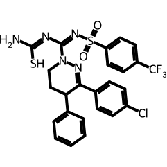 N/C(S)=N/C(=N/S(=O)(=O)c1ccc(C(F)(F)F)cc1)N1CCC(c2ccccc2)C(c2ccc(Cl)cc2)=N1